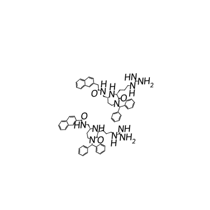 N=C(N)NCCC[C@@H]1N[C@H](CNC(=O)Cc2ccc3ccccc3c2)CCN(C(c2ccccc2)c2ccccc2)C1=O.N=C(N)NCCC[C@@H]1N[C@H](CNC(=O)c2ccc3ccccc3c2)CCN(C(c2ccccc2)c2ccccc2)C1=O